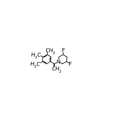 C=C(c1cc(C)c(C)c(C)c1)N1CC(F)CC(F)C1